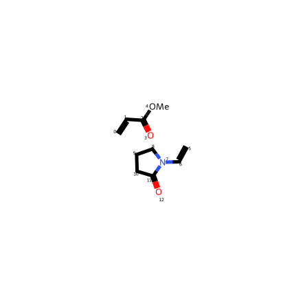 C=CC(=O)OC.C=CN1CCCC1=O